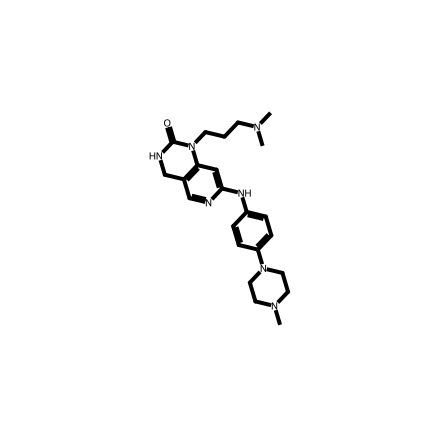 CN(C)CCCN1C(=O)NCc2cnc(Nc3ccc(N4CCN(C)CC4)cc3)cc21